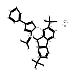 C[C](C)=[Zr+2]([C]1=CC(c2ccccc2)=CC1)[CH]1c2cc(C(C)(C)C)ccc2-c2ccc(C(C)(C)C)cc21.[Cl-].[Cl-]